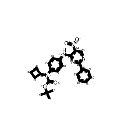 CC(C)(C)OC(=O)N(c1ccc(Nc2nc(-c3ccccc3)ncc2[N+](=O)[O-])cc1)C1CCC1